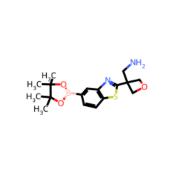 CC1(C)OB(c2ccc3sc(C4(CN)COC4)nc3c2)OC1(C)C